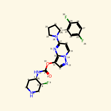 O=C(N[C@@H]1CCNC[C@@H]1F)Oc1cnn2ccc(N3CCC[C@@H]3c3cc(F)ccc3F)nc12